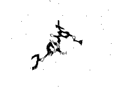 CCC(CC)Oc1ccc2nn(CC(=O)c3cc(OCC4CC4)cc(C(C)(C)C)c3)c(=N)n2n1